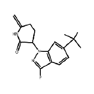 C=C1CCC(n2nc(F)c3ccc(C(C)(C)C)cc32)C(=O)N1